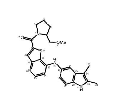 COCC1CCCN1C(=O)c1cc2nccc(Nc3ccc4[nH]c(C)c(C)c4c3)c2s1